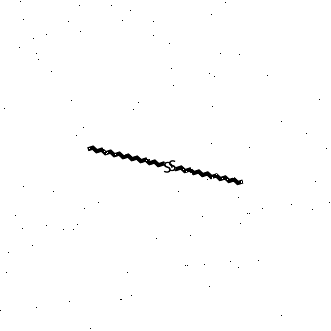 CCCCCCCCCCCCCCCCCCSSCCCCCCCCCCCCCCCC